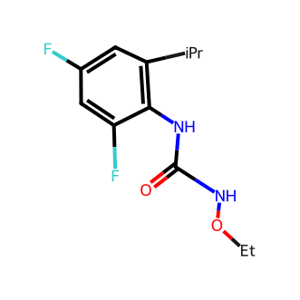 CCONC(=O)Nc1c(F)cc(F)cc1C(C)C